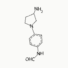 NC1CCN(c2ccc(NC=O)cc2)C1